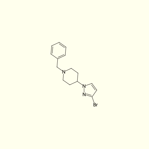 Brc1ccn(C2CCN(Cc3ccccc3)CC2)n1